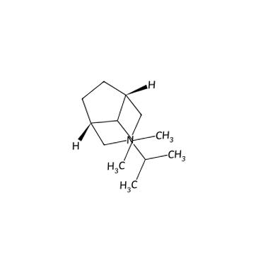 CC(C)C1[C@@H]2CC[C@H]1CN(C(C)C)C2